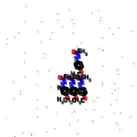 COc1ccc(N=N[N+](C)=O)cc1.COc1ccc(N=N[N+](C)=O)cc1.COc1ccc(N=N[N+](C)=O)cc1.COc1ccc(N=N[N+](C)=O)cc1.[Pt]